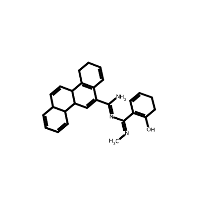 C/N=C(\N=C(/N)C1=CC2C(C=CC3C=CC=CC32)C2=C1C=CCC2)C1=C(O)CCC=C1